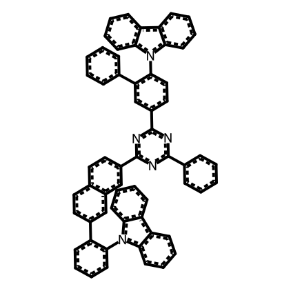 c1ccc(-c2nc(-c3ccc(-n4c5ccccc5c5ccccc54)c(-c4ccccc4)c3)nc(-c3ccc4ccc(-c5ccccc5-n5c6ccccc6c6ccccc65)cc4c3)n2)cc1